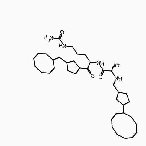 CC(C)[C@@H](NCC1CCC(C2CCCCCCCCC2)C1)C(=O)N[C@H](CCCNC(N)=O)C(=O)C1CCC(CC2CCCCCCC2)C1